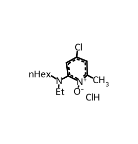 CCCCCCN(CC)c1cc(Cl)cc(C)[n+]1[O-].Cl